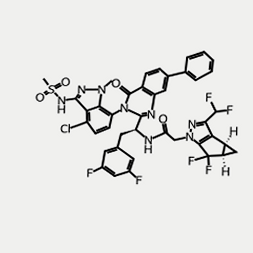 Cn1nc(NS(C)(=O)=O)c2c(Cl)ccc(-n3c([C@H](Cc4cc(F)cc(F)c4)NC(=O)Cn4nc(C(F)F)c5c4C(F)(F)[C@@H]4C[C@H]54)nc4cc(-c5ccccc5)ccc4c3=O)c21